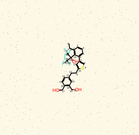 CCc1cccc(-c2csc(CCc3ccc(CO)c(CO)c3)c2)c1C(O)(C(F)(F)F)C(F)(F)F